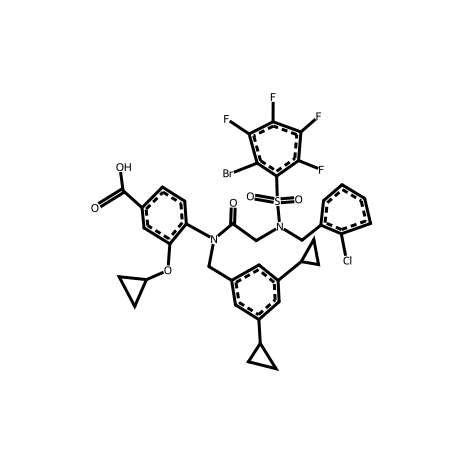 O=C(O)c1ccc(N(Cc2cc(C3CC3)cc(C3CC3)c2)C(=O)CN(Cc2ccccc2Cl)S(=O)(=O)c2c(F)c(F)c(F)c(F)c2Br)c(OC2CC2)c1